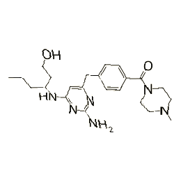 CCCC(CCO)Nc1cc(Cc2ccc(C(=O)N3CCN(C)CC3)cc2)nc(N)n1